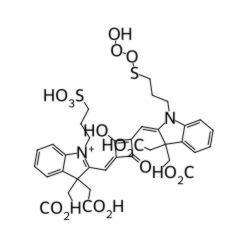 O=C(O)CC1(CC(=O)O)C(=CC2=C(O)C(=CC3=[N+](CCCS(=O)(=O)O)c4ccccc4C3(CC(=O)O)CC(=O)O)C2=O)N(CCCSOOO)c2ccccc21